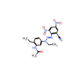 CCc1ccc(N(CC)N=Nc2c(C#N)cc([N+](=O)[O-])cc2[N+](=O)[O-])cc1NC(C)=O